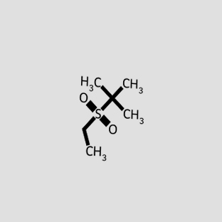 CCS(=O)(=O)C(C)(C)C